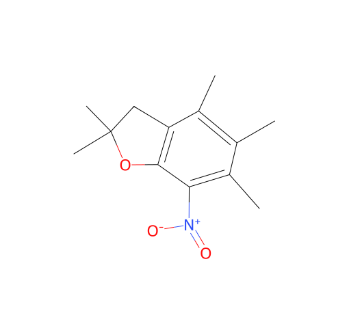 Cc1c(C)c2c(c([N+](=O)[O-])c1C)OC(C)(C)C2